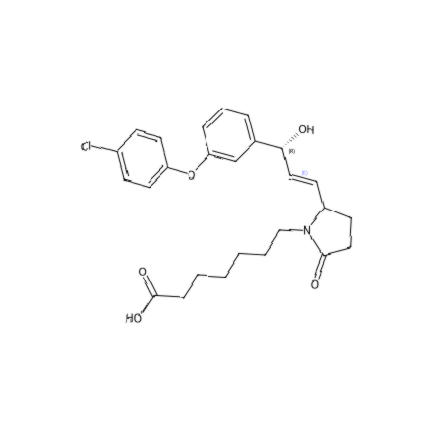 O=C(O)CCCCCCN1C(=O)CCC1/C=C/[C@@H](O)c1cccc(Oc2ccc(Cl)cc2)c1